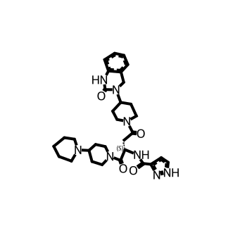 O=C(N[C@@H](CC(=O)N1CCC(N2Cc3ccccc3NC2=O)CC1)C(=O)N1CCC(N2CCCCC2)CC1)c1cc[nH]n1